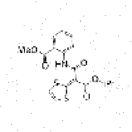 COC(=O)c1ccccc1NC(=O)C(C(=O)OC(C)C)=C1SC=CS1